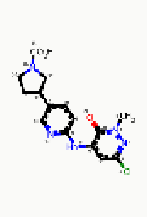 Cn1nc(Cl)cc(Nc2ccc(C3CCN(C(=O)O)C3)cn2)c1=O